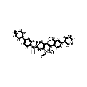 CCn1c(=O)c(-c2ccc(-c3cncnc3)cc2Cl)cc2cnc(Nc3ccc(C4CCNCC4)cc3)nc21